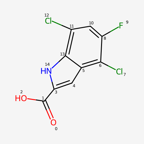 O=C(O)c1cc2c(Cl)c(F)cc(Cl)c2[nH]1